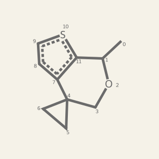 CC1OCC2(CC2)c2ccsc21